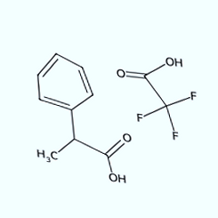 CC(C(=O)O)c1ccccc1.O=C(O)C(F)(F)F